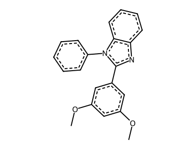 COc1cc(OC)cc(-c2nc3ccccc3n2-c2ccccc2)c1